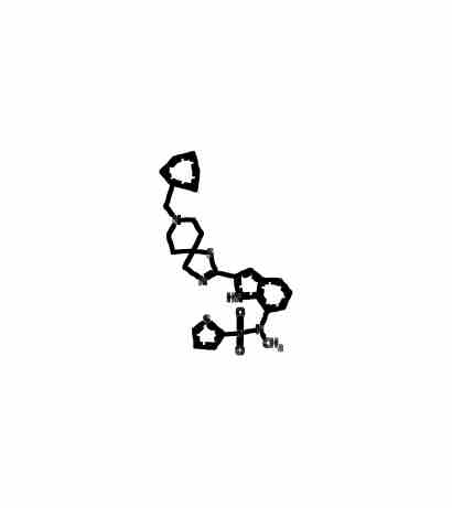 CN(c1cccc2cc(C3=NCC4(CCN(Cc5ccccc5)CC4)S3)[nH]c12)S(=O)(=O)c1cccs1